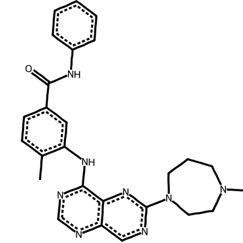 Cc1ccc(C(=O)Nc2ccccc2)cc1Nc1ncnc2cnc(N3CCCN(C)CC3)nc12